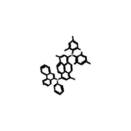 Cc1cc(C)c(B(c2c(C)cc(C)cc2C)c2cc(C)c3ccc4c(N(c5ccccc5)c5cc6ccccc6c6ccccc56)cc(C)c5ccc2c3c54)c(C)c1